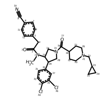 CN(C(=O)Cc1ccc(C#N)cc1)C1CN(C(=O)C2CCN(CC3CC3)CC2)CC1c1ccc(Cl)c(Cl)c1